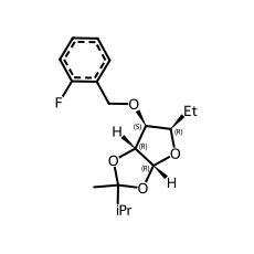 CC[C@H]1O[C@@H]2OC(C)(C(C)C)O[C@@H]2[C@H]1OCc1ccccc1F